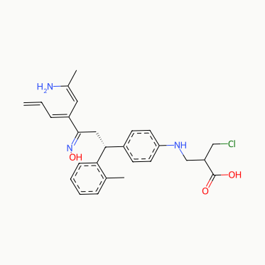 C=C/C=C(\C=C(\C)N)C(/C[C@H](c1ccc(NCC(CCl)C(=O)O)cc1)c1ccccc1C)=N/O